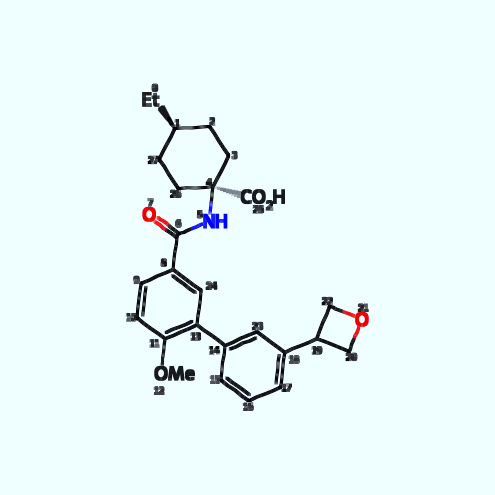 CC[C@H]1CC[C@](NC(=O)c2ccc(OC)c(-c3cccc(C4COC4)c3)c2)(C(=O)O)CC1